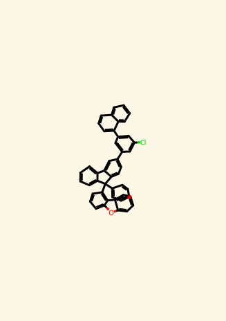 Clc1cc(-c2ccc3c(c2)-c2ccccc2C3(c2ccccc2)c2cccc3oc4ccccc4c23)cc(-c2cccc3ccccc23)c1